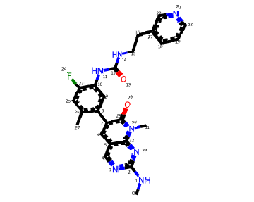 CNc1ncc2cc(-c3cc(NC(=O)NCCc4cccnc4)c(F)cc3C)c(=O)n(C)c2n1